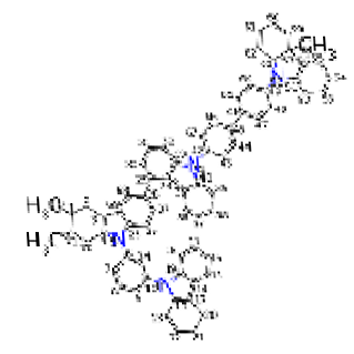 CC1Cc2c(n(-c3cccc(-n4c5c(c6ccccc64)CCC=C5)c3)c3ccc(-c4cccc5c4c4ccccc4n5-c4ccc(-c5ccc(N6c7ccccc7C7(C)C=CC=CC67)cc5)cc4)cc23)CC1C